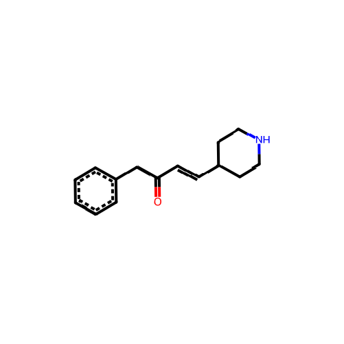 O=C(C=CC1CCNCC1)Cc1ccccc1